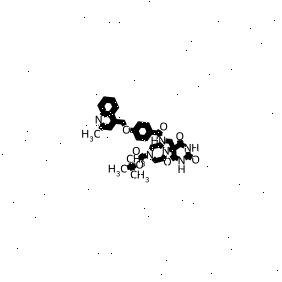 Cc1cc(COc2ccc(C(=O)NCC3(N4CCN(C(=O)OC(C)(C)C)CC4)C(=O)NC(=O)NC3=O)cc2)c2ccccc2n1